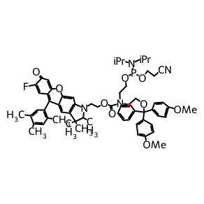 COc1ccc(C(OCCN(CCOP(OCCC#N)N(C(C)C)C(C)C)C(=O)OCCN2c3cc4oc5cc(=O)c(F)cc-5c(-c5cc(C)c(C)cc5C)c4cc3C(C)(C)C2C)(c2ccccc2)c2ccc(OC)cc2)cc1